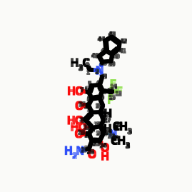 CCN(Cc1cc(O)c2c(c1C(F)(F)F)C[C@H]1C[C@H]3[C@H](N(C)C)C(O)=C(C(N)=O)C(=O)[C@@]3(O)C(O)=C1C2=O)C1Cc2ccccc2C1